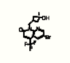 C[C@]1(O)C[C@@H](Cn2c(=O)cc(C(F)(F)F)c3cc(Br)cnc32)C1